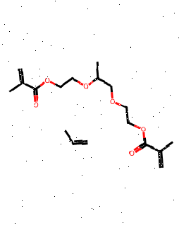 C=C(C)C(=O)OCCOCC(C)OCCOC(=O)C(=C)C.C=CC